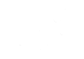 CCn1cc(C(F)(F)F)nc1-c1ccc(CN)cc1F